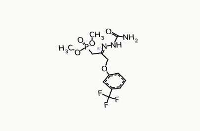 COP(=O)(C/C(COc1cccc(C(F)(F)F)c1)=N/NC(N)=O)OC